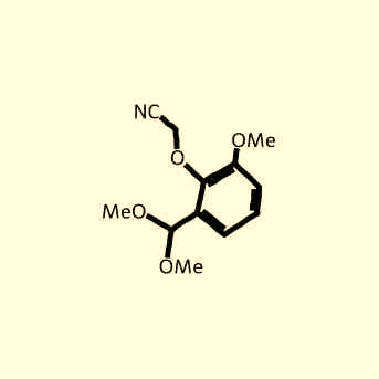 COc1cccc(C(OC)OC)c1OCC#N